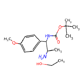 CCO.COc1ccc(C(NC(=O)OC(C)(C)C)C(C)N)cc1